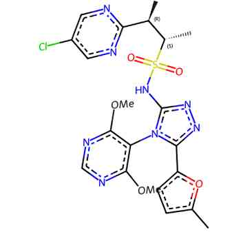 COc1ncnc(OC)c1-n1c(NS(=O)(=O)[C@@H](C)[C@H](OC)c2ncc(Cl)cn2)nnc1-c1ccc(C)o1